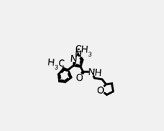 Cc1ccccc1-c1nn(C)cc1C(=O)NCCC1CCCO1